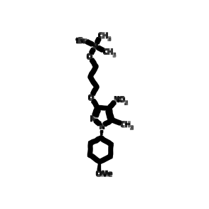 CO[C@H]1CC[C@H](n2nc(OCCCO[Si](C)(C)C(C)(C)C)c([N+](=O)[O-])c2C)CC1